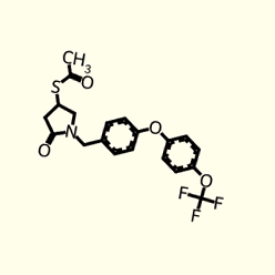 CC(=O)SC1CC(=O)N(Cc2ccc(Oc3ccc(OC(F)(F)F)cc3)cc2)C1